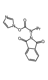 CC(C)N(C(=O)On1ccnc1)N1C(=O)c2ccccc2C1=O